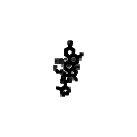 Cc1ncsc1C(=O)O[C@@]1(C(=O)SCF)[C@H](C)C[C@H]2[C@@H]3C[C@H](F)C4=CC(=O)C=C[C@]4(C)[C@@]3(F)[C@@H](O)C[C@@]21C